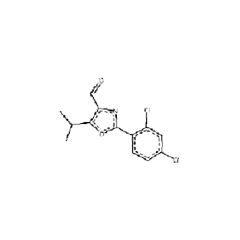 CC(C)c1oc(-c2ccc(Cl)cc2Cl)nc1C=O